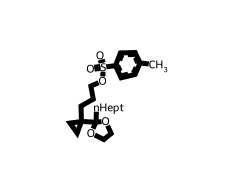 CCCCCCCC1(C2(CCCOS(=O)(=O)c3ccc(C)cc3)CC2)OCCO1